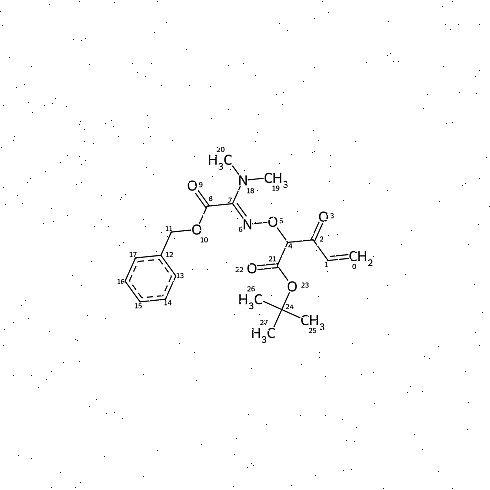 C=CC(=O)C(ON=C(C(=O)OCc1ccccc1)N(C)C)C(=O)OC(C)(C)C